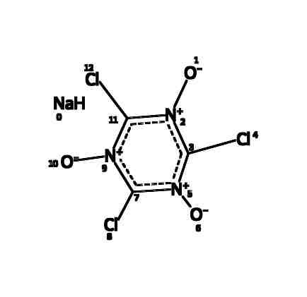 [NaH].[O-][n+]1c(Cl)[n+]([O-])c(Cl)[n+]([O-])c1Cl